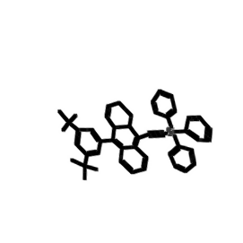 CC(C)(C)c1cc(C2=c3ccccc3=C(C#C[Si](c3cc#ccc3)(c3ccccc3)c3ccccc3)C3CCC=CC23)cc(C(C)(C)C)c1